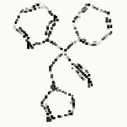 N#CC(Cn1ccnc1)(c1ccccc1)c1ncccn1